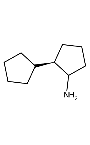 NC1CCC[C@@H]1C1CCCC1